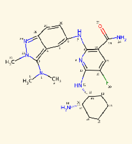 CN(C)c1c2cc(Nc3nc(N[C@@H]4CCCC[C@@H]4N)c(F)cc3C(N)=O)ccc2nn1C